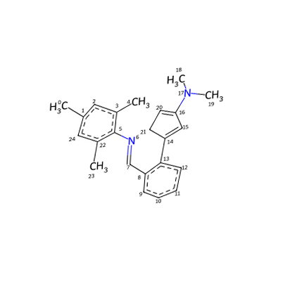 Cc1cc(C)c(N=Cc2ccccc2C2=CC(N(C)C)=CC2)c(C)c1